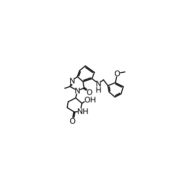 COc1ccccc1CNc1cccc2nc(C)n(C3CCC(=O)NC3O)c(=O)c12